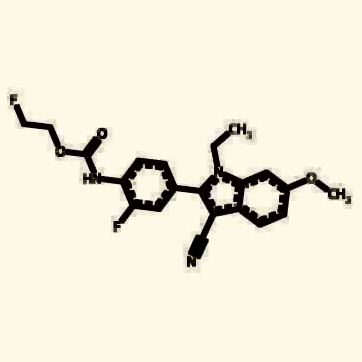 CCn1c(-c2ccc(NC(=O)OCCF)c(F)c2)c(C#N)c2ccc(OC)cc21